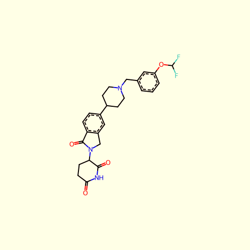 O=C1CCC(N2Cc3cc(C4CCN(Cc5cccc(OC(F)F)c5)CC4)ccc3C2=O)C(=O)N1